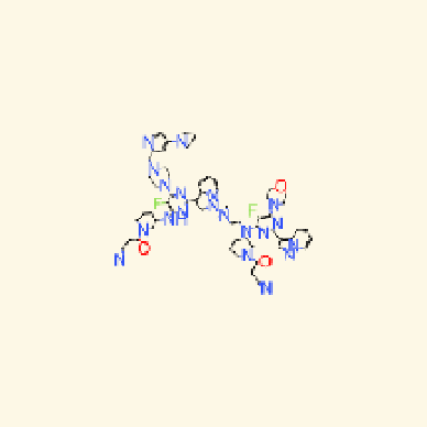 CN(C)CCN(c1nc(-c2cnn3ccccc23)nc(N2CCOCC2)c1F)[C@@H]1CCCN(C(=O)CC#N)C1.N#CCC(=O)N1CCC[C@@H](Nc2nc(-c3cnn4ccccc34)nc(N3CCN(Cc4cc(N5CCCC5)ccn4)CC3)c2F)C1